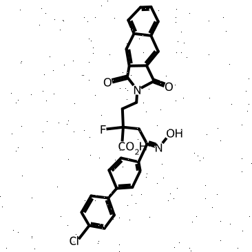 O=C1c2cc3ccccc3cc2C(=O)N1CCC(F)(C/C(=N\O)c1ccc(-c2ccc(Cl)cc2)cc1)C(=O)O